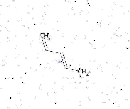 [CH2]/C=C/[C]=C